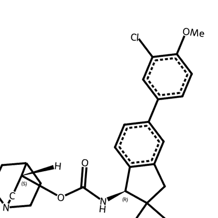 COc1ccc(-c2ccc3c(c2)CC(C)(C)[C@H]3NC(=O)O[C@@H]2CN3CCC2CC3)cc1Cl